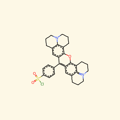 O=S(=O)(Cl)c1ccc(C2=c3cc4c5c(c3Oc3c2cc2c6c3CCCN6CCC2)CCC[N+]=5CCC4)cc1